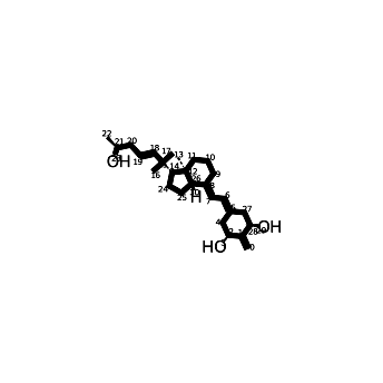 C=C1[C@H](O)CC(=C/C=C2\CCC[C@]3(C)[C@@H](C(C)(C)/C=C/C[C@H](C)O)CC[C@@H]23)C[C@H]1O